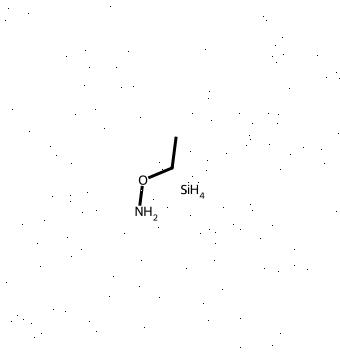 CCON.[SiH4]